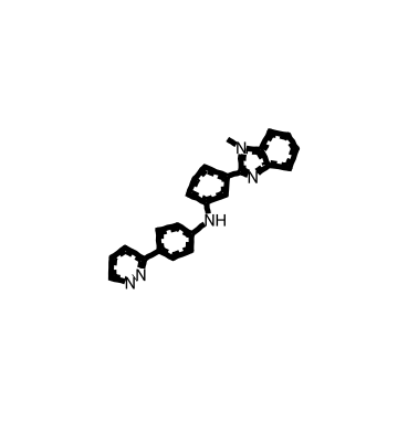 Cn1c(-c2cccc(Nc3ccc(-c4cccnn4)cc3)c2)nc2ccccc21